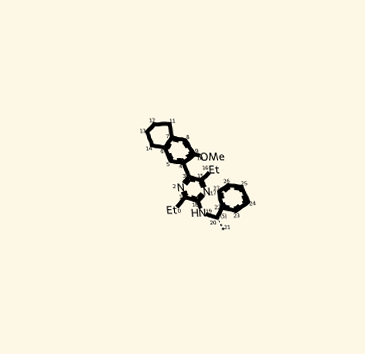 CCc1nc(-c2cc3c(cc2OC)CCCC3)c(CC)nc1N[C@@H](C)c1ccccc1